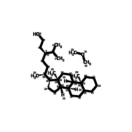 CC(C)[C@H](CCO)CC[C@@H](C)[C@H]1CC[C@H]2[C@@H]3CCC4CCCC[C@]4(C)[C@H]3CC[C@]12C.COC